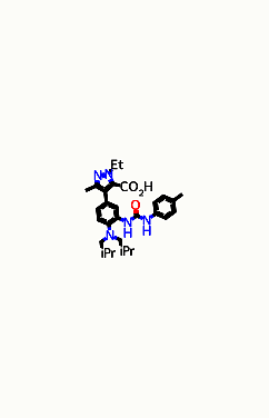 CCn1nc(C)c(-c2ccc(N(CC(C)C)CC(C)C)c(NC(=O)Nc3ccc(C)cc3)c2)c1C(=O)O